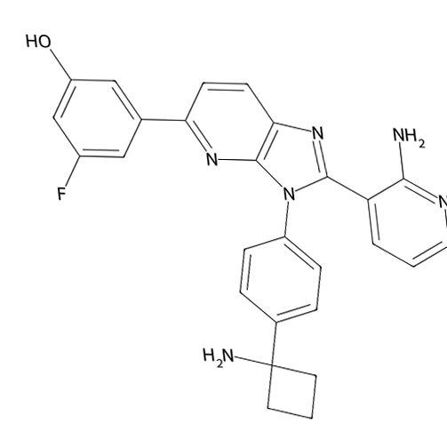 Nc1ncccc1-c1nc2ccc(-c3cc(O)cc(F)c3)nc2n1-c1ccc(C2(N)CCC2)cc1